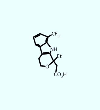 CCC1(CC(=O)O)OCCc2c1[nH]c1c(C(F)(F)F)cccc21